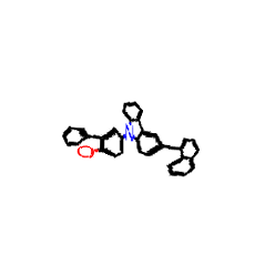 c1ccc2c(-c3ccc4c(c3)c3ccccc3n4-c3ccc4oc5ccccc5c4c3)cccc2c1